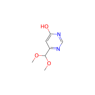 COC(OC)c1cc(O)ncn1